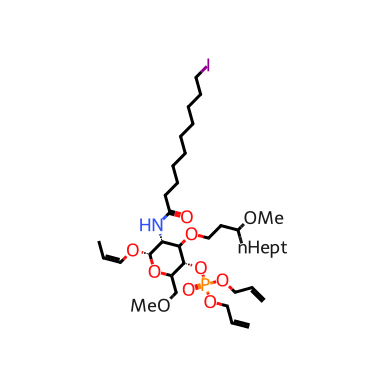 C=CCOP(=O)(OCC=C)O[C@@H]1C(COC)O[C@H](O/C=C\C)[C@H](NC(=O)CCCCCCCCCI)C1OCCC(CCCCCCC)OC